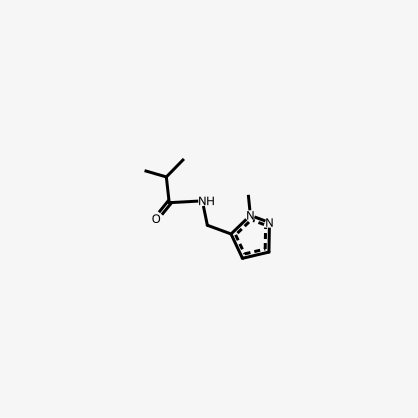 CC(C)C(=O)NCc1ccnn1C